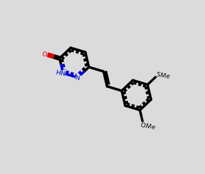 COc1cc(/C=C/c2ccc(=O)[nH]n2)cc(SC)c1